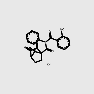 CC1(C)C2CCC1(C(=O)P(C(=O)c1ccccc1N=O)c1ccccc1)C(=O)C2=O.[KH]